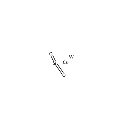 O=[Si]=O.[Cs].[W]